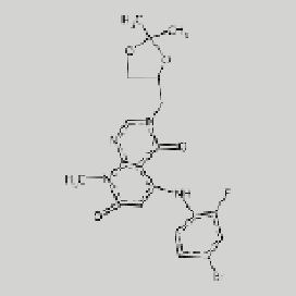 Cn1c(=O)cc(Nc2ccc(Br)cc2F)c2c(=O)n(CC3COC(C)(C)O3)cnc21